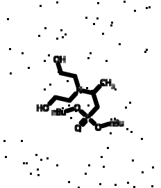 CCCCOP(=O)(CC(C)N(CCO)CCO)OCCCC